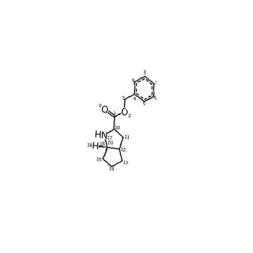 O=C(OCc1ccccc1)C1CC2CCC[C@@H]2N1